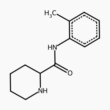 Cc1ccccc1NC(=O)C1CCCCN1